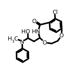 CN(c1ccccc1)C(O)CC1NC(=O)c2ccc(cc2Cl)OCCO1